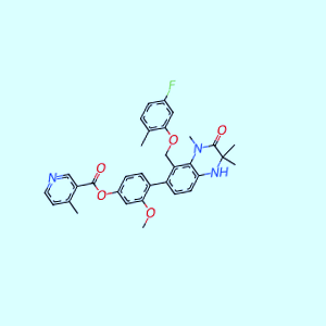 COc1cc(OC(=O)c2cnccc2C)ccc1-c1ccc2c(c1COc1cc(F)ccc1C)N(C)C(=O)C(C)(C)N2